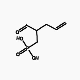 C=CCC([C]=O)CP(=O)(O)O